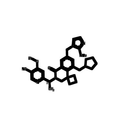 CCOc1cc([C@H](C)N2CC3(CCC3)c3c(CN4CCCC4)cc(Cn4ccnc4NC)cc3C2=O)ncc1C#N